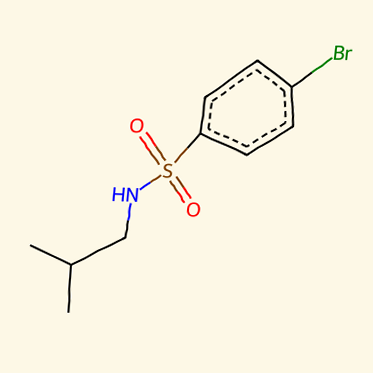 CC(C)CNS(=O)(=O)c1ccc(Br)cc1